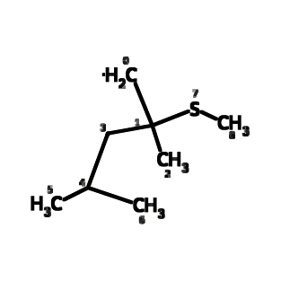 [CH2]C(C)(CC(C)C)SC